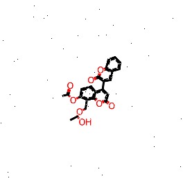 CC(=O)Oc1ccc2c(-c3cc4ccccc4oc3=O)cc(=O)oc2c1COC(C)O